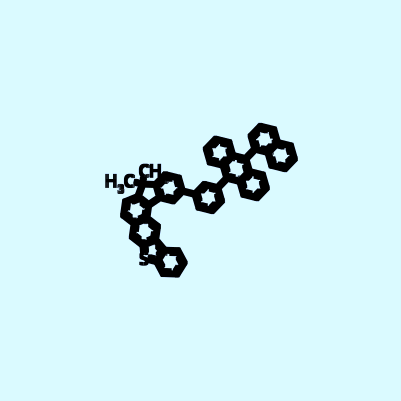 CC1(C)c2ccc(-c3cccc(-c4c5ccccc5c(-c5cccc6ccccc56)c5ccccc45)c3)cc2-c2c1ccc1cc3sc4ccccc4c3cc21